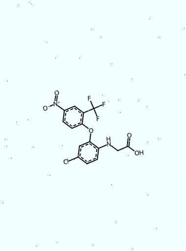 O=C(O)CNc1ccc(Cl)cc1Oc1ccc([N+](=O)[O-])cc1C(F)(F)F